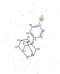 Brc1[c]cc(C23CC4CC(CC(C4)C2)C3)cc1